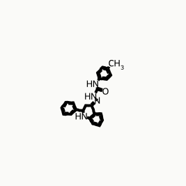 Cc1ccc(NC(=O)NN=C2CC(c3ccccc3)Nc3ccccc32)cc1